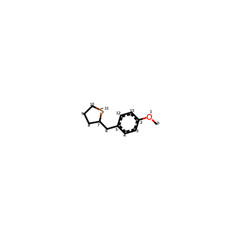 COc1ccc(CC2CCCS2)cc1